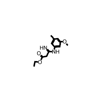 CCOC(=O)CC(=N)Nc1cc(C)cc(OC)c1